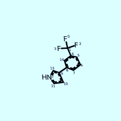 FC(F)(F)c1cccc(-c2cc[nH]c2)c1